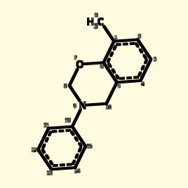 Cc1cccc2c1OCN(c1ccccc1)C2